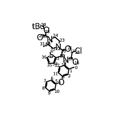 Cc1cc(Oc2ccccc2)ccc1N(C(=O)CCl)[C@@H](C(=O)N1CCN(C(=O)OC(C)(C)C)[C@H](C)C1)c1cccs1